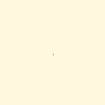 CC(=O)S[C@H]1COC2CCOC21